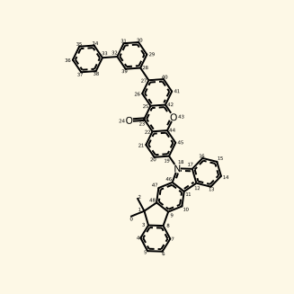 CC1(C)c2ccccc2-c2cc3c4ccccc4n(-c4ccc5c(=O)c6cc(-c7cccc(-c8ccccc8)c7)ccc6oc5c4)c3cc21